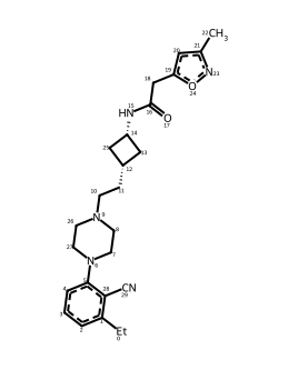 CCc1cccc(N2CCN(CC[C@H]3C[C@@H](NC(=O)Cc4cc(C)no4)C3)CC2)c1C#N